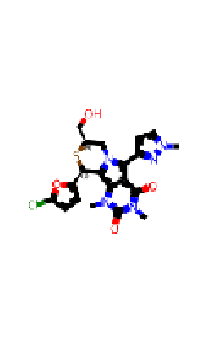 Cn1ccc(-c2c3c(=O)n(C)c(=O)n(C)c3c3n2C[C@H](CO)S[C@@H]3c2ccc(Cl)o2)n1